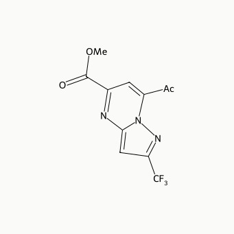 COC(=O)c1cc(C(C)=O)n2nc(C(F)(F)F)cc2n1